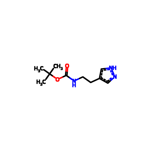 CC(C)(C)OC(=O)NCCc1cn[nH]c1